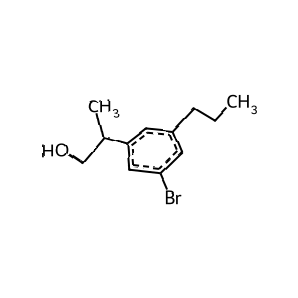 CCCc1cc(Br)cc([C](C)CO)c1